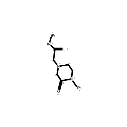 CC(C)NC(=O)CN1CCN(C(C)C)C(=O)C1